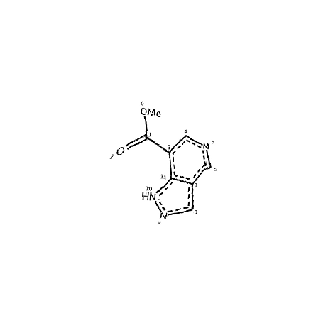 COC(=O)c1cncc2cn[nH]c12